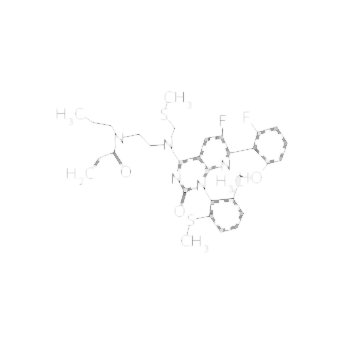 C=CC(=O)N(CCC)CCN(CSC)c1nc(=O)n(-c2c(C)cccc2SC)c2nc(-c3c(O)cccc3F)c(F)cc12